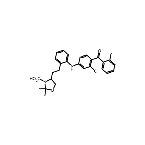 Cc1ccccc1C(=O)c1ccc(Nc2ccccc2CCC2COC(C)(C)N2C(=O)O)cc1Cl